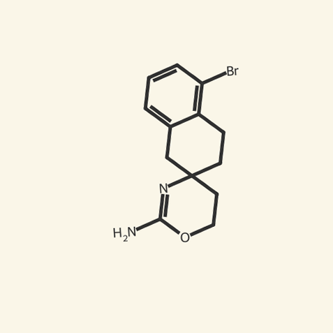 NC1=NC2(CCO1)CCc1c(Br)cccc1C2